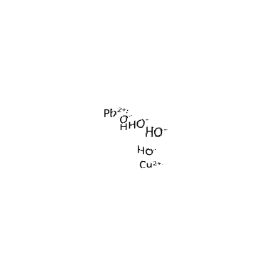 [Cu+2].[OH-].[OH-].[OH-].[OH-].[Pb+2]